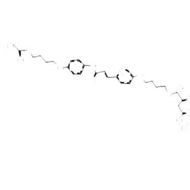 C=CC(=O)OCCCCOc1ccc(OC(=O)/C=C/c2ccc(OCCCCOC(=O)C(=C)CC(=O)OCCC)cc2)cc1